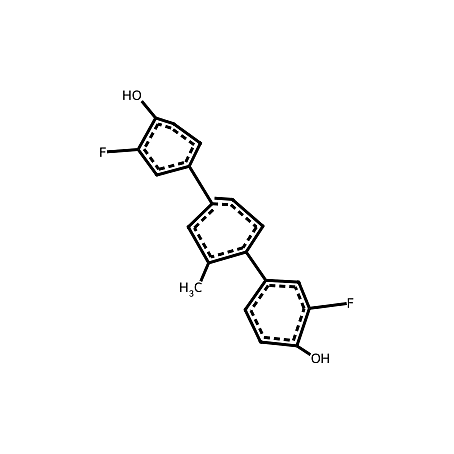 Cc1cc(-c2ccc(O)c(F)c2)ccc1-c1ccc(O)c(F)c1